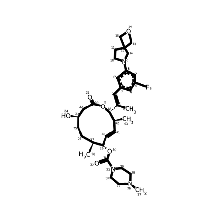 C/C(=C\c1cc(F)cc(N2CCC3(COC3)C2)c1)[C@H]1OC(=O)C[C@H](O)CC[C@H](C)[C@@H](OC(=O)N2CCN(C)CC2)/C=C/[C@@H]1C